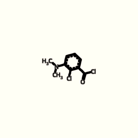 CN(C)c1cccc(C(=O)Cl)c1Cl